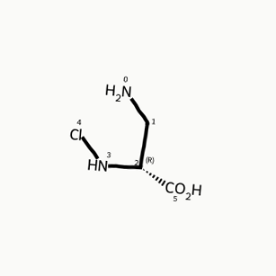 NC[C@@H](NCl)C(=O)O